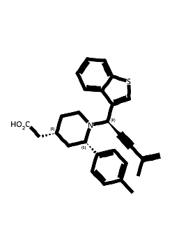 C=C(C)C#C[C@H](c1csc2ccccc12)N1CC[C@@H](CC(=O)O)C[C@H]1c1ccc(C)cc1